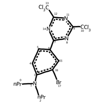 CCCN(CCC)c1ccc(-c2nc(C(Cl)(Cl)Cl)nc(C(Cl)(Cl)Cl)n2)cc1Br